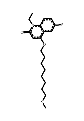 CCn1c(=O)cc(OCCCCCCCCSC)c2cc(F)ccc21